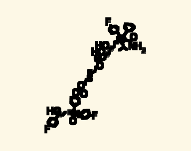 CC(C)c1c(C(N)=O)c(-c2ccccc2)c(-c2ccc(F)cc2)n1CC[C@@H](O)C[C@@H](O)CC(=O)OCCSSCCOC(=O)Oc1ccc(C2[C@@H](CC[C@H](O)c3ccc(F)cc3)C(=O)N2c2ccc(F)cc2)cc1